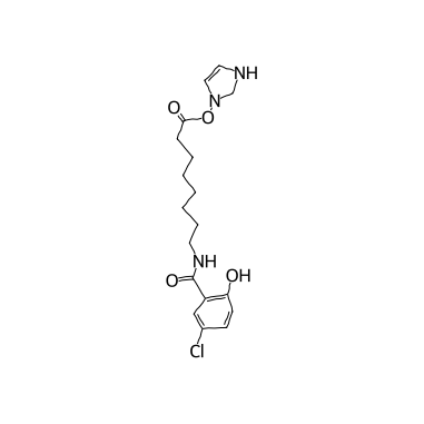 O=C(CCCCCCCNC(=O)c1cc(Cl)ccc1O)ON1C=CNC1